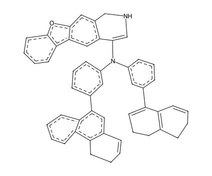 C1=CC2=C(CC1)CCC=C2c1cccc(N(C2=CNCc3cc4oc5ccccc5c4cc32)c2cccc(-c3cc4c(c5ccccc35)CCC=C4)c2)c1